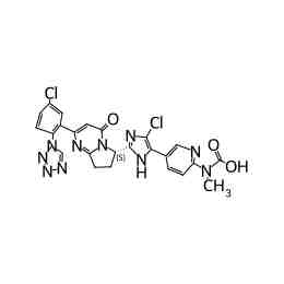 CN(C(=O)O)c1ccc(-c2[nH]c([C@@H]3CCc4nc(-c5cc(Cl)ccc5-n5cnnn5)cc(=O)n43)nc2Cl)cn1